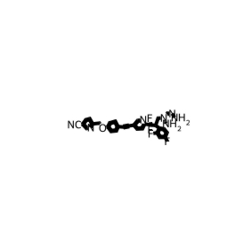 N#Cc1ccc(COc2ccc(C#Cc3ccc(C(F)(F)C(CN(N)/C=N\N)c4ccc(F)cc4F)nc3)cc2)nc1